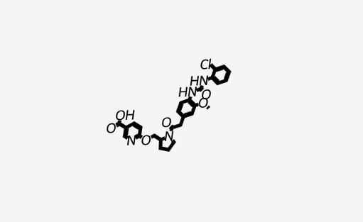 COc1cc(CC(=O)N2CCCC2COc2ccc(C(=O)O)cn2)ccc1NC(=O)Nc1ccccc1Cl